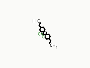 CCCC1CC[C@]2(CC1)C[C@@]1(CCC(CCC)CC1)C2(Cl)Cl